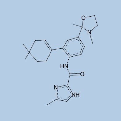 Cc1c[nH]c(C(=O)Nc2ccc(C3(C)OCCN3C)cc2C2=CCC(C)(C)CC2)n1